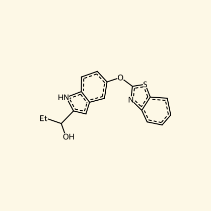 CCC(O)c1cc2cc(Oc3nc4ccccc4s3)ccc2[nH]1